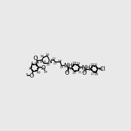 COc1ccc(C(=O)C2CCN(CCCCNC(=O)c3ccc(NC(=O)c4ccc(Cl)cc4)cc3)CC2)c(OC)c1